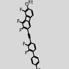 CCCCCc1ccc(-c2ccc(C#Cc3cc4c(c(F)c3F)-c3c-4ccc(OCC)c3F)c(F)c2F)cc1